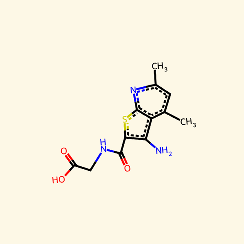 Cc1cc(C)c2c(N)c(C(=O)NCC(=O)O)sc2n1